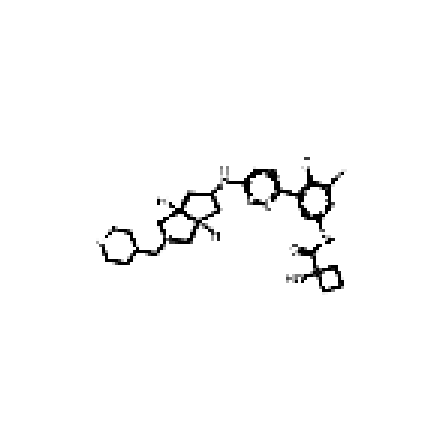 O=C(Nc1cc(F)c(F)c(-c2ccc(NC3C[C@@H]4CN(CC5CCOCC5)C[C@@H]4C3)nn2)c1)C1(O)CCC1